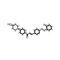 O=C(/C=C/c1ccc(OCc2ccccc2F)cc1)c1ccc(N2CCC(O)CC2)cc1